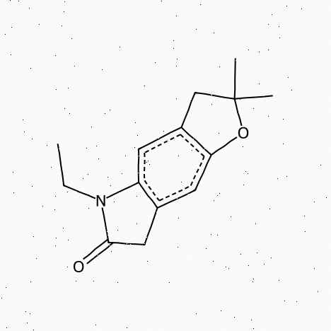 CCN1C(=O)Cc2cc3c(cc21)CC(C)(C)O3